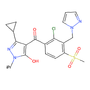 CC(C)n1nc(C2CC2)c(C(=O)c2ccc(S(C)(=O)=O)c(Cn3cccn3)c2Cl)c1O